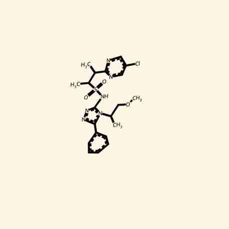 COCC(C)n1c(NS(=O)(=O)C(C)C(C)c2ncc(Cl)cn2)nnc1-c1ccccc1